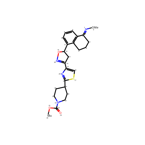 CO/N=C1\CCCc2c1cccc2C1CC(c2csc(C3CCN(C(=O)OC(C)(C)C)CC3)n2)=NO1